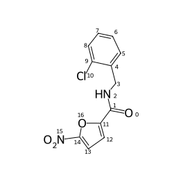 O=C(NCc1ccccc1Cl)c1ccc([N+](=O)[O-])o1